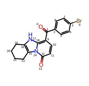 O=C(c1ccc(Br)cc1)c1ccc(=O)n2c3c([nH]c12)CCCC3